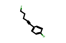 FCCCC#Cc1ccc(Br)cc1